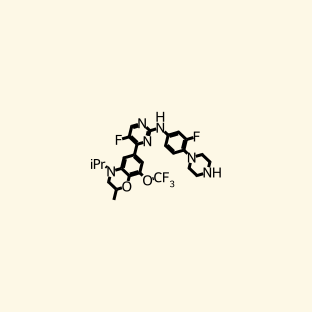 CC1CN(C(C)C)c2cc(-c3nc(Nc4ccc(N5CCNCC5)c(F)c4)ncc3F)cc(OC(F)(F)F)c2O1